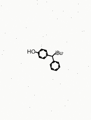 CC[C](C)C(c1ccccc1)c1ccc(O)cc1